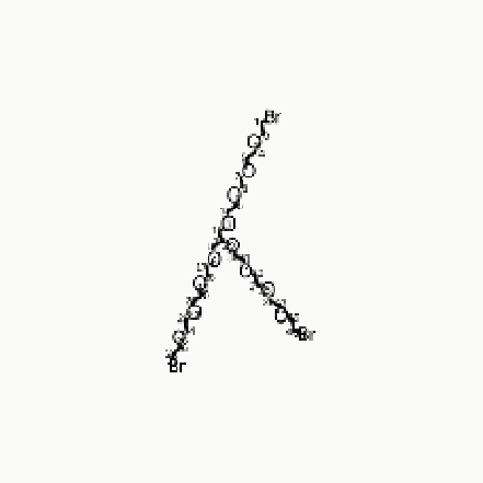 BrCCOCCOCCOCCOCC(COCCOCCOCCOCCBr)OCCOCCOCCOCCBr